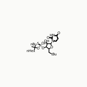 CCCCCCC(C)(CCCC)OP(O)(=S)OC1C(CC(C)(C)C)OC(n2ccc(=O)[nH]c2=O)C1O